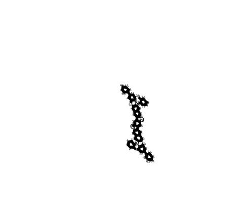 Cc1ccccc1N(c1ccc2cc3c(cc2c1)oc1cc2c(cc13)oc1cc3cc(N(c4ccccc4C)c4ccc(-c5ccccc5)cc4C)ccc3cc12)c1ccc(-c2ccccc2)cc1C